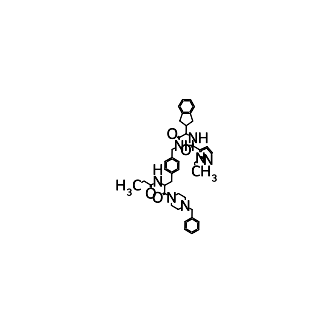 CCC(=O)NC(Cc1ccc(CNC(=O)C(NC(=O)c2ccnn2CC)C2Cc3ccccc3C2)cc1)C(=O)N1CCN(Cc2ccccc2)CC1